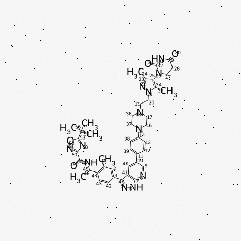 Cc1cc(-c2n[nH]c3ncc(-c4ccc(N5CCN(CCn6nc(C)c(N7CCC(=O)NC7=O)c6C)CC5)cc4)cc23)ccc1C(C)NC(=O)c1noc(C(C)(C)C)n1